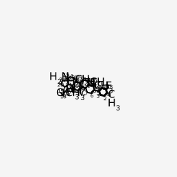 Cc1ccc(C2=CC[C@]3(C)[C@H]4CC[C@@H]5[C@H]6[C@H](C7(C)CO7)CC[C@]6(N)CC[C@@]5(C)[C@]4(C)CC[C@H]3C2(C)C)cc1F